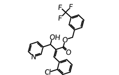 O=C(OCc1cccc(C(F)(F)F)c1)/C(=C\c1ccccc1Cl)C(O)c1cccnc1